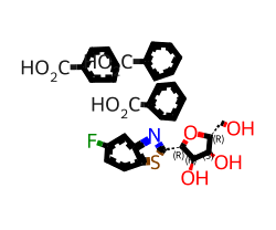 O=C(O)c1ccccc1.O=C(O)c1ccccc1.O=C(O)c1ccccc1.OC[C@H]1O[C@@H](c2nc3cc(F)ccc3s2)[C@H](O)[C@@H]1O